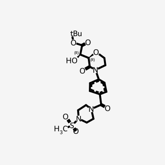 CC(C)(C)OC(=O)[C@H](O)[C@H]1OCCN(c2ccc(C(=O)N3CCN(S(C)(=O)=O)CC3)cc2)C1=O